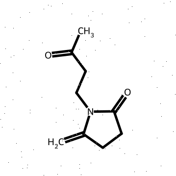 C=C1CCC(=O)N1CCC(C)=O